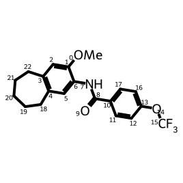 COc1cc2c(cc1NC(=O)c1ccc(OC(F)(F)F)cc1)CCCCC2